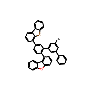 N#Cc1cc(-c2ccccc2)cc(-c2cc(-c3cccc4c3sc3ccccc34)ccc2-c2cccc3oc4ccccc4c23)c1